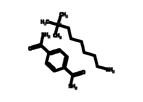 C[N+](C)(C)CCCCCCN.NC(=O)c1ccc(C(N)=O)cc1